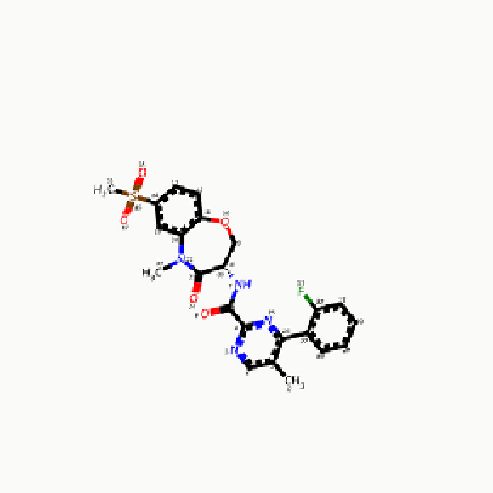 Cc1cnc(C(=O)N[C@H]2COc3ccc(S(C)(=O)=O)cc3N(C)C2=O)nc1-c1ccccc1F